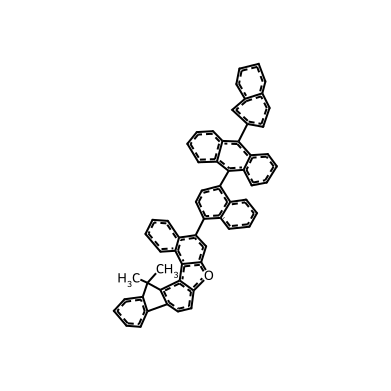 CC1(C)c2ccccc2-c2ccc3oc4cc(-c5ccc(-c6c7ccccc7c(-c7ccc8ccccc8c7)c7ccccc67)c6ccccc56)c5ccccc5c4c3c21